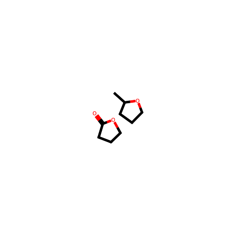 CC1CCCO1.O=C1CCCO1